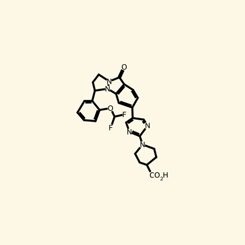 O=C(O)C1CCN(c2ncc(-c3ccc4c(=O)n5n(c4c3)C(c3ccccc3OC(F)F)CC5)cn2)CC1